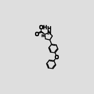 O=C(O)[C@@H]1CC(c2ccc(Oc3ccccc3)cc2)CN1